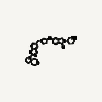 O=C1c2ccc(O[C@H]3CCN(Cc4ccc5nc(N6CCCC67CCOCC7)ncc5c4)C3)cc2CN1C1CCCNC1